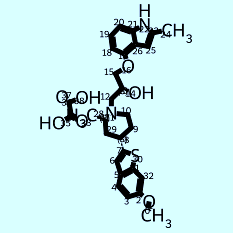 COc1ccc2cc([C@H]3CCN(C[C@H](O)COc4cccc5[nH]c(C)cc45)[C@H](C)C3)sc2c1.O=C(O)C(=O)O